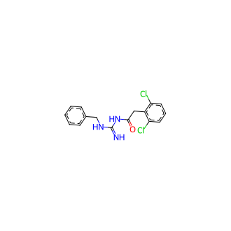 N=C(NCc1ccccc1)NC(=O)Cc1c(Cl)cccc1Cl